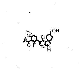 CN(C)C(=O)c1c(N)ccc(-c2cnc3c(c2Cl)C2(CCC(CO)CC2)CN3)c1F